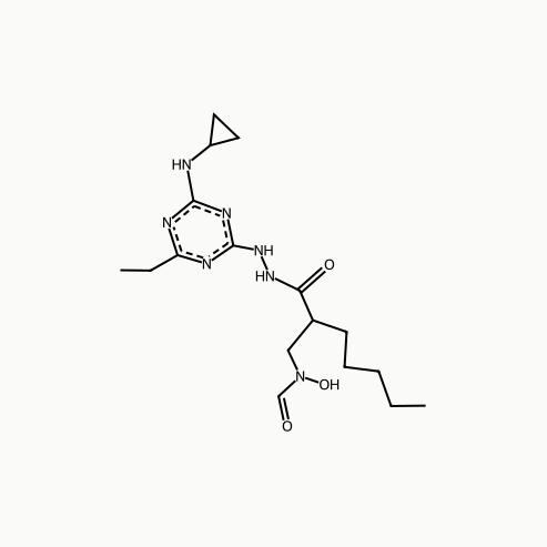 CCCCCC(CN(O)C=O)C(=O)NNc1nc(CC)nc(NC2CC2)n1